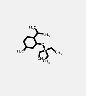 CC[Si](CC)(CC)OC1CC(C)CCC1[C](C)C